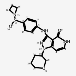 O=c1[nH]ccc2c1c(Nc1ccc([S+]([O-])N3CCC3)cc1)nn2C1CCCOC1